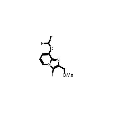 COCc1nc2c(OC(F)F)cccn2c1I